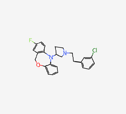 Fc1ccc2c(c1)COc1ccccc1N2C1CCN(CCc2cccc(Cl)c2)C1